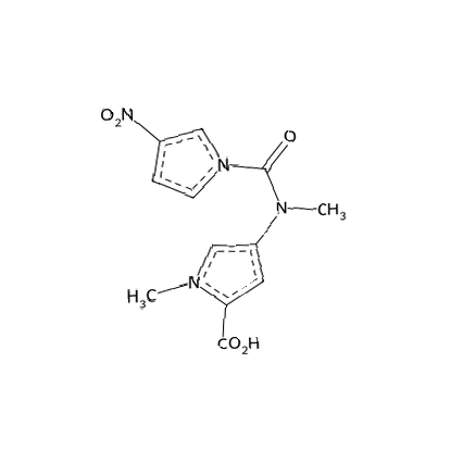 CN(C(=O)n1ccc([N+](=O)[O-])c1)c1cc(C(=O)O)n(C)c1